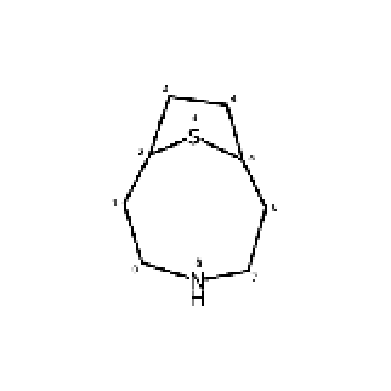 C1CC2CCC(CCN1)S2